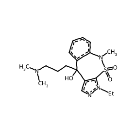 CCn1ncc2c1S(=O)(=O)N(C)c1ccccc1C2(O)CCCN(C)C